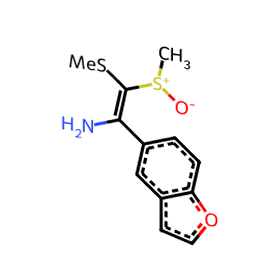 CSC(=C(N)c1ccc2occc2c1)[S+](C)[O-]